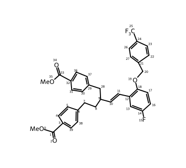 COC(=O)c1ccc(CCC(C=Cc2cc(F)ccc2OCc2ccc(C(F)(F)F)cc2)Cc2ccc(C(=O)OC)cc2)cc1